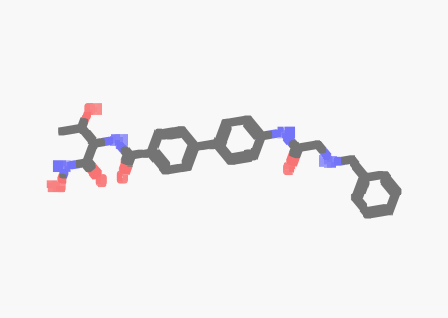 CC(O)C(NC(=O)c1ccc(-c2ccc(NC(=O)CNCc3ccccc3)cc2)cc1)C(=O)NO